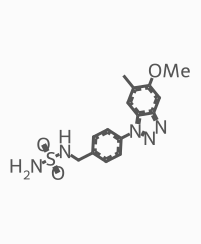 COc1cc2nnn(-c3ccc(CNS(N)(=O)=O)cc3)c2cc1C